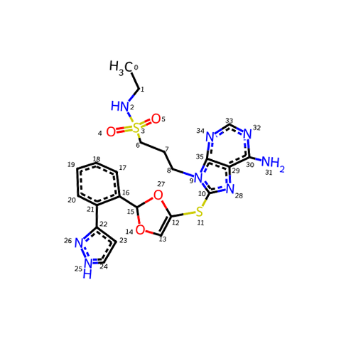 CCNS(=O)(=O)CCCn1c(SC2=COC(c3ccccc3-c3cc[nH]n3)O2)nc2c(N)ncnc21